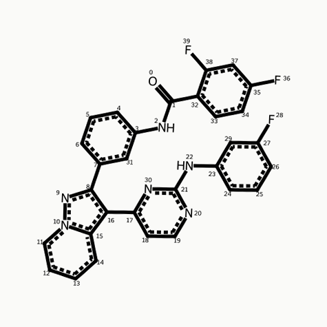 O=C(Nc1cccc(-c2nn3ccccc3c2-c2ccnc(Nc3cccc(F)c3)n2)c1)c1ccc(F)cc1F